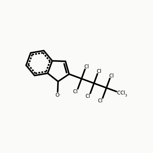 [O]C1C(C(Cl)(Cl)C(Cl)(Cl)C(Cl)(Cl)C(Cl)(Cl)Cl)=Cc2ccccc21